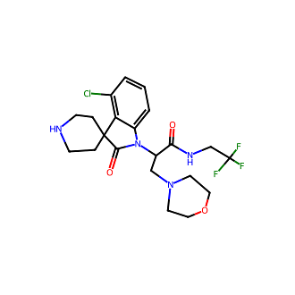 O=C(NCC(F)(F)F)C(CN1CCOCC1)N1C(=O)C2(CCNCC2)c2c(Cl)cccc21